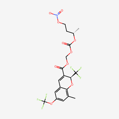 Cc1cc(OC(F)(F)F)cc2c1O[C@H](C(F)(F)F)C(C(=O)OCOC(=O)O[C@@H](C)CCO[N+](=O)[O-])=C2